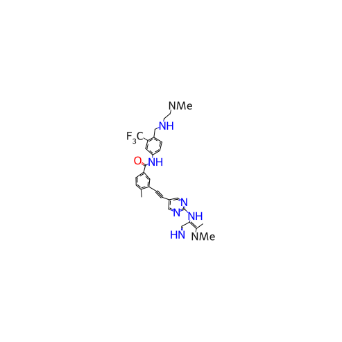 CNCCNCc1ccc(NC(=O)c2ccc(C)c(C#Cc3cnc(N/C(C=N)=C(\C)NC)nc3)c2)cc1C(F)(F)F